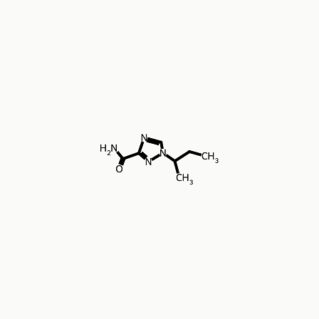 CCC(C)n1cnc(C(N)=O)n1